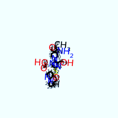 C[C@@H]1OCC2(CCN(c3ncc(Sc4ccnc5c4OC[C@@H]4CCCN54)nc3CO)CC2)[C@@H]1N.O=CO